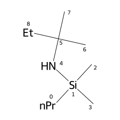 CCC[Si](C)(C)NC(C)(C)CC